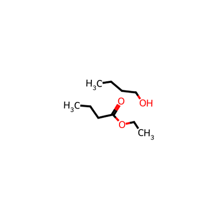 CCCC(=O)OCC.CCCCO